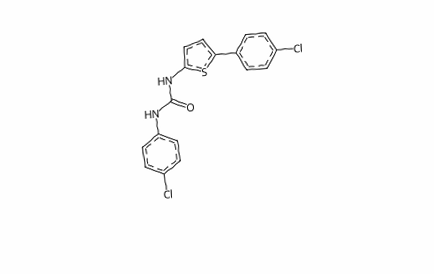 O=C(Nc1ccc(Cl)cc1)Nc1ccc(-c2ccc(Cl)cc2)s1